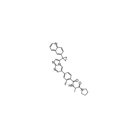 CC(NC(=O)c1ccc(-c2cnc3ncc(C4(c5ccc6ncccc6c5)CC4)n3c2)cc1F)C(=O)N1CCCC1